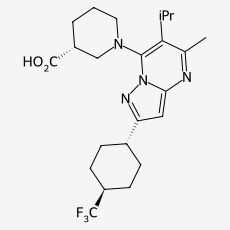 Cc1nc2cc([C@H]3CC[C@H](C(F)(F)F)CC3)nn2c(N2CCC[C@@H](C(=O)O)C2)c1C(C)C